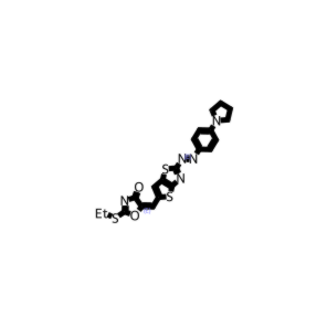 CCSC1=NC(=O)/C(=C\c2cc3sc(/N=N/c4ccc(N5CCCC5)cc4)nc3s2)O1